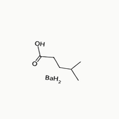 CC(C)CCC(=O)O.[BaH2]